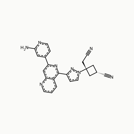 N#CC[C@]1(n2ccc(-c3nc(-c4ccnc(N)c4)cc4ncccc34)n2)C[C@@H](C#N)C1